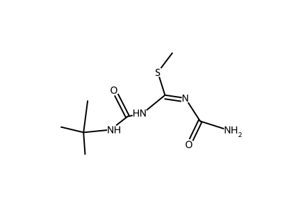 CSC(=NC(N)=O)NC(=O)NC(C)(C)C